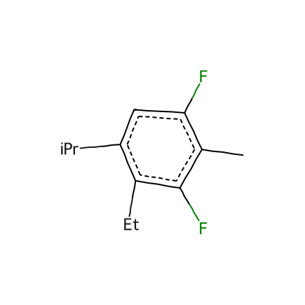 CCc1c(C(C)C)cc(F)c(C)c1F